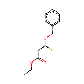 CCOC(=O)CC(F)OCc1ccccc1